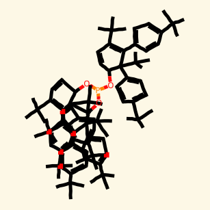 CC(C)(C)C1=C(c2ccc(C(C)(C)C)cc2)C(c2ccc(C(C)(C)C)cc2)(C(C)(C)C)C(OP(OC2C=CC(C(C)(C)C)=C(c3ccc(C(C)(C)C)cc3)C2(c2ccc(C(C)(C)C)cc2)C(C)(C)C)OC2C=CC(C(C)(C)C)=C(c3ccc(C(C)(C)C)cc3)C2(c2ccc(C(C)(C)C)cc2)C(C)(C)C)C=C1